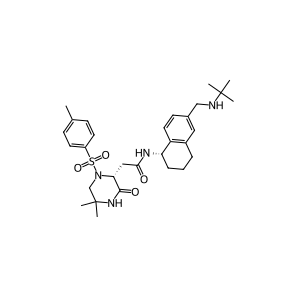 Cc1ccc(S(=O)(=O)N2CC(C)(C)NC(=O)[C@H]2CC(=O)N[C@H]2CCCc3cc(CNC(C)(C)C)ccc32)cc1